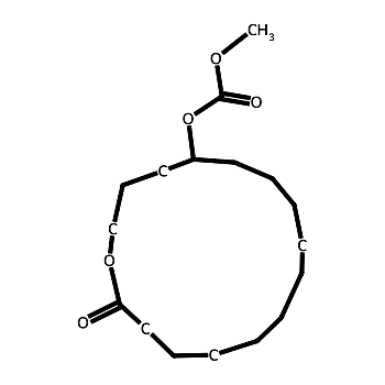 COC(=O)OC1CCCCCCCCCCC(=O)OCCC1